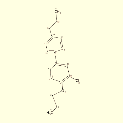 CCCOc1ccc(-c2ccc(CCC)cc2)cc1Cl